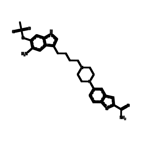 CS(=O)(=O)Oc1cc2[nH]cc(CCCCN3CCN(c4ccc5oc(C(N)=O)cc5c4)CC3)c2cc1N